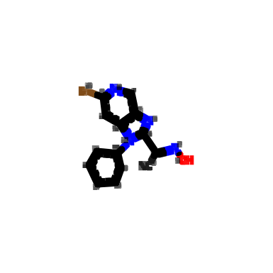 N#CC(=NO)c1nc2cnc(Br)cc2n1-c1ccccc1